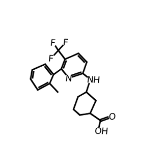 Cc1ccccc1-c1nc(NC2CCCC(C(=O)O)C2)ccc1C(F)(F)F